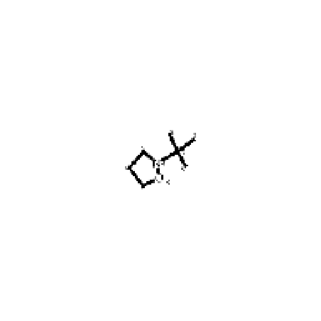 CC(C)(C)N1CCCO1